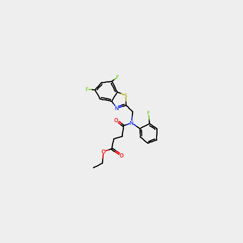 CCOC(=O)CCC(=O)N(Cc1nc2cc(F)cc(F)c2s1)c1ccccc1F